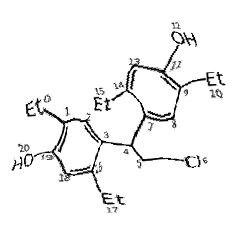 CCc1cc(C(CCl)c2cc(CC)c(O)cc2CC)c(CC)cc1O